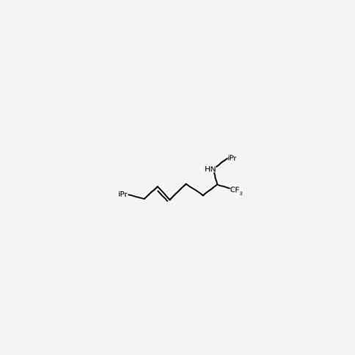 CC(C)C/C=C/CCC(NC(C)C)C(F)(F)F